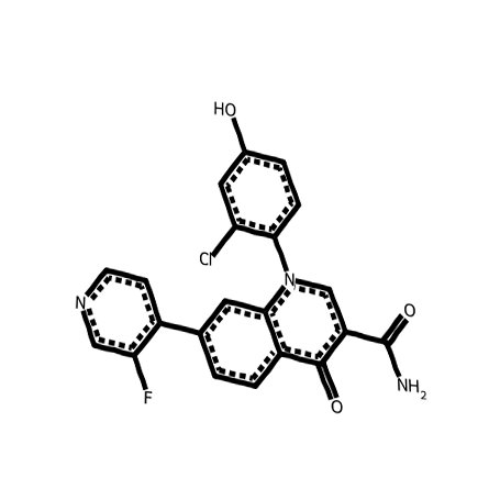 NC(=O)c1cn(-c2ccc(O)cc2Cl)c2cc(-c3ccncc3F)ccc2c1=O